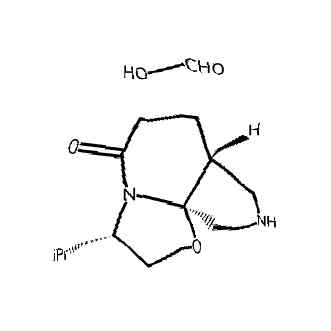 CC(C)[C@H]1CO[C@]23CCNC[C@H]2CCC(=O)N13.O=CO